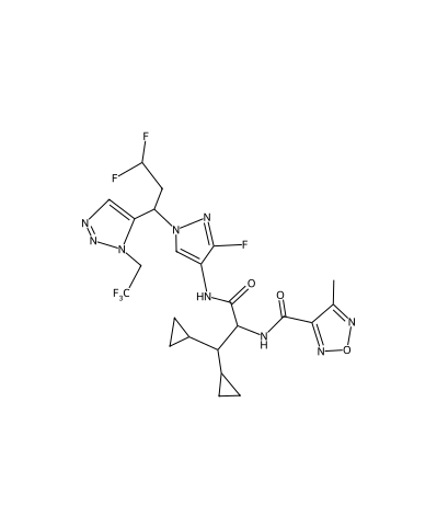 Cc1nonc1C(=O)NC(C(=O)Nc1cn(C(CC(F)F)c2cnnn2CC(F)(F)F)nc1F)C(C1CC1)C1CC1